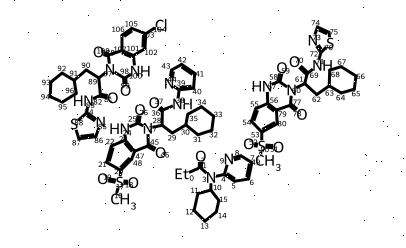 CCC(=O)N(c1ccccn1)C1CCCCC1.CS(=O)(=O)c1ccc2[nH]c(=O)n(C(CC3CCCCC3)C(=O)Nc3ccccn3)c(=O)c2c1.CS(=O)(=O)c1ccc2[nH]c(=O)n(C(CC3CCCCC3)C(=O)Nc3nccs3)c(=O)c2c1.O=C(Nc1nccs1)C(CC1CCCCC1)n1c(=O)[nH]c2cc(Cl)ccc2c1=O